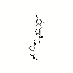 Cc1cc(C#N)cc(C)c1Oc1ccnc(NC2CCN(c3cccc(OC(N)=O)n3)CC2)n1